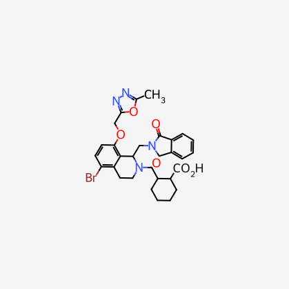 Cc1nnc(COc2ccc(Br)c3c2C(CN2Cc4ccccc4C2=O)N(C(=O)C2CCCCC2C(=O)O)CC3)o1